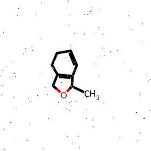 CC1OCC2=C1C=CCC2